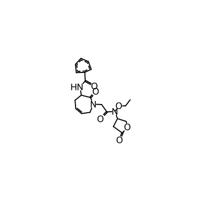 CCON(C(=O)CN1CC=CCC(NC(=O)c2ccccc2)C1=O)C1COC(=O)C1